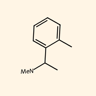 CNC(C)c1ccccc1C